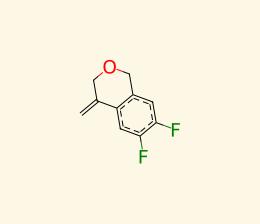 C=C1COCc2cc(F)c(F)cc21